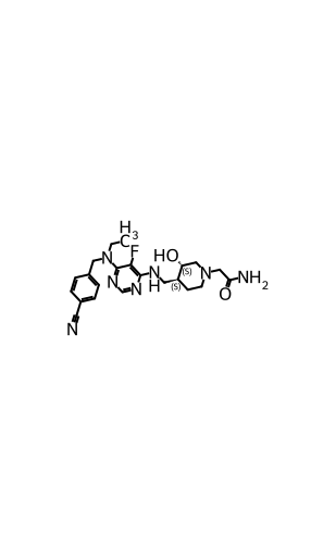 CCN(Cc1ccc(C#N)cc1)c1ncnc(NC[C@@H]2CCN(CC(N)=O)C[C@H]2O)c1F